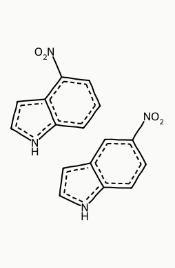 O=[N+]([O-])c1ccc2[nH]ccc2c1.O=[N+]([O-])c1cccc2[nH]ccc12